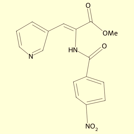 COC(=O)C(=Cc1cccnc1)NC(=O)c1ccc([N+](=O)[O-])cc1